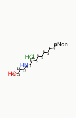 CCCCCCCCCCCCCCCCCCNCCCO.Cl